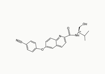 CC(C)[C@H](CO)NC(=O)c1ccc2cc(Oc3ccc(C#N)cc3)ccc2n1